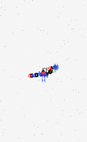 CC(Cn1cnnn1)Oc1cc(-c2cnc(Nc3cn(C4CCC(N5CCOCC5)CC4)nc3OCC(F)(F)F)nc2)ccc1Cl